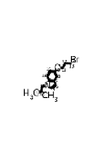 C[C](C)Cn1ccc2cc(OCCCBr)ccc21